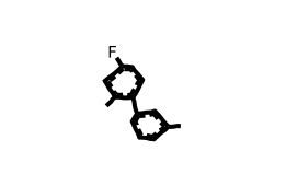 Cc1cccc(-c2ccc(F)cc2C)c1